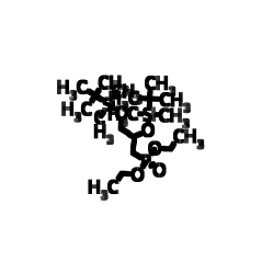 CCOP(=O)(CC(CO[Si](C)(C)C(C)(C)C)O[Si](C)(C)C(C)(C)C)OCC